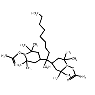 CC1(C)CC(C(CCCCCCCC(=O)O)(C(=O)O)C2CC(C)(C)N(OC(N)=O)C(C)(C)C2)CC(C)(C)N1OC(N)=O